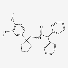 COc1ccc(C2(CNC(=O)C(c3ccccc3)c3ccccc3)CCCC2)cc1OC